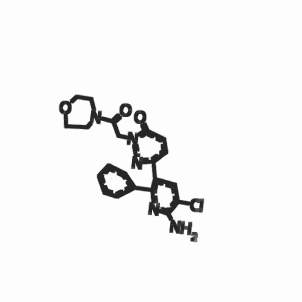 Nc1nc(-c2ccccc2)c(-c2ccc(=O)n(CC(=O)N3CCOCC3)n2)cc1Cl